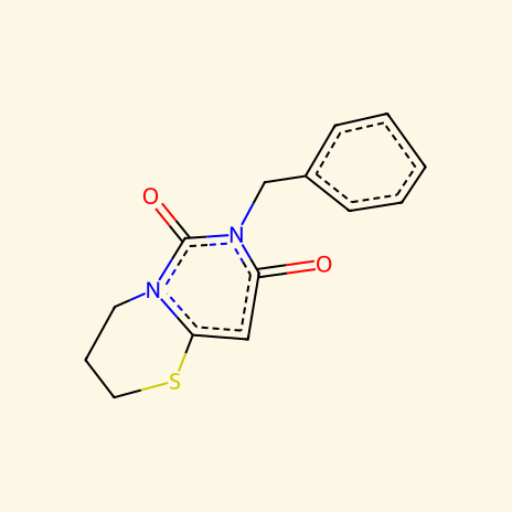 O=c1cc2n(c(=O)n1Cc1ccccc1)CCCS2